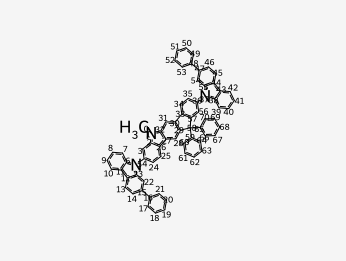 Cn1c2cc(-n3c4ccccc4c4ccc(-c5ccccc5)cc43)ccc2c2cc3c(cc21)-c1ccc(-n2c4ccccc4c4ccc(-c5ccccc5)cc42)cc1C3(c1ccccc1)c1ccccc1